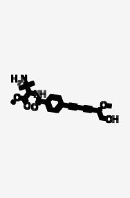 COC(=O)C(NC(=O)c1ccc(C#CC#CC(CO)OC)cc1)C(C)(C)N